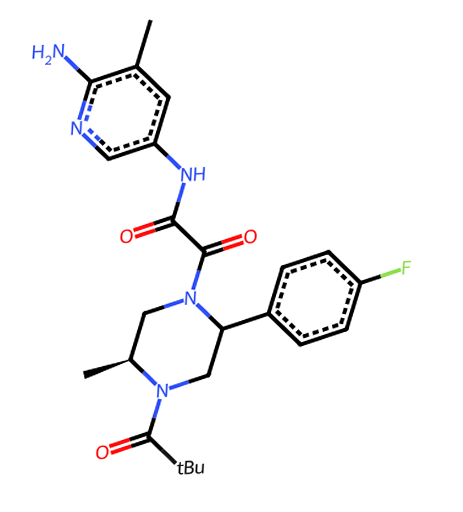 Cc1cc(NC(=O)C(=O)N2C[C@H](C)N(C(=O)C(C)(C)C)CC2c2ccc(F)cc2)cnc1N